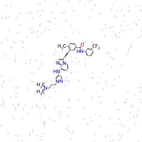 Cc1ccc(C(=O)Nc2cccc(C(F)(F)F)c2)cc1C#Cc1cnc2c(Nc3cnn(CCCN(C)C)c3)cccn12